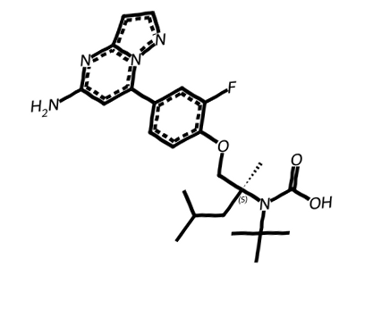 CC(C)C[C@@](C)(COc1ccc(-c2cc(N)nc3ccnn23)cc1F)N(C(=O)O)C(C)(C)C